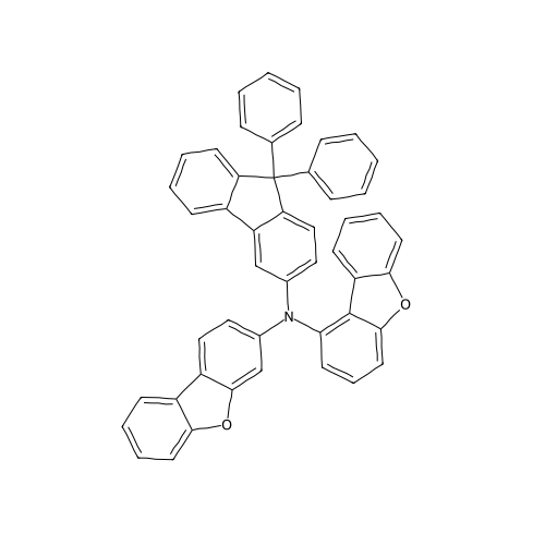 c1ccc(C2(c3ccccc3)c3ccccc3-c3cc(N(c4ccc5c(c4)oc4ccccc45)c4cccc5oc6ccccc6c45)ccc32)cc1